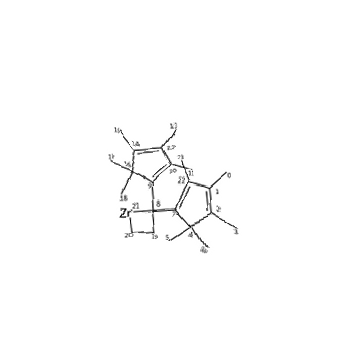 CC1=C(C)C(C)(C)C([C]2(C3=C(C)C(C)=C(C)C3(C)C)C[CH2][Zr]2)=C1C